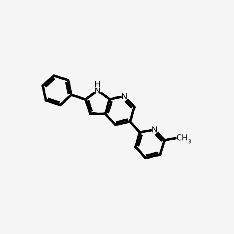 Cc1cccc(-c2cnc3[nH]c(-c4ccccc4)cc3c2)n1